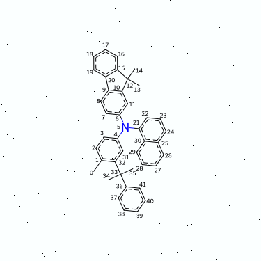 Cc1ccc(N(c2ccc3c(c2)C(C)(C)c2ccccc2-3)c2cccc3ccccc23)cc1C(C)(C)c1ccccc1